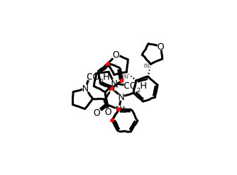 O=C(O)N1CCCC1C(=O)[N+]1(N(c2cccc([C@@H]3CCOC3)c2[C@@H]2CCOC2)[N+]2(C(=O)C3CCCN3C(=O)O)Cc3ccc2cc3)Cc2ccc1cc2